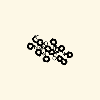 O=P12c3c4cccc3N(c3ccccc3)c3c1c(cc1c5c6c(cc31)Oc1cc3ccccc3c3c1P6(=O)c1c(cccc1N5c1ccccc1)N3c1ccccc1)Oc1cc3ccccc3c(c12)N4c1ccccc1